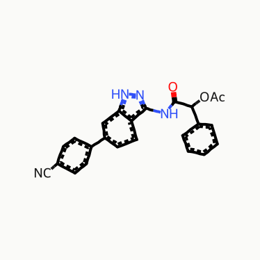 CC(=O)OC(C(=O)Nc1n[nH]c2cc(-c3ccc(C#N)cc3)ccc12)c1ccccc1